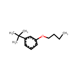 CCCCOc1[c]ccc(C(C)(C)C)c1